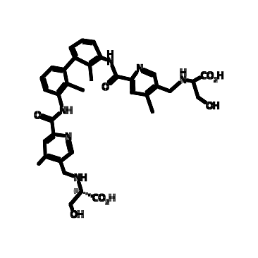 Cc1cc(C(=O)Nc2cccc(-c3cccc(NC(=O)c4cc(C)c(CN[C@@H](CO)C(=O)O)cn4)c3C)c2C)ncc1CNC(CO)C(=O)O